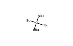 CCCC[Si](CCCC)(CCCC)CCCC